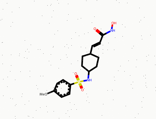 COc1ccc(S(=O)(=O)NC2CCC(/C=C/C(=O)NO)CC2)cc1